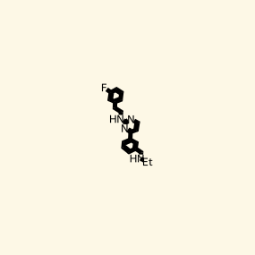 CCNCc1cccc(-c2ccnc(NCCc3cccc(F)c3)n2)c1